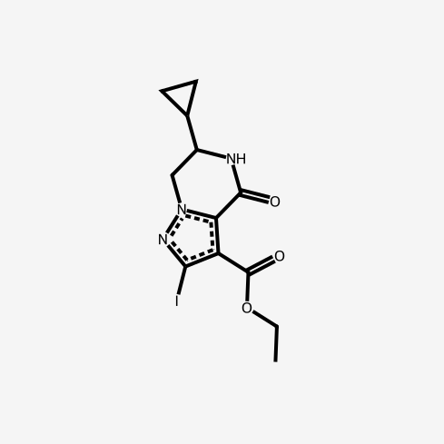 CCOC(=O)c1c(I)nn2c1C(=O)NC(C1CC1)C2